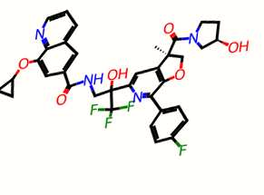 C[C@]1(C(=O)N2CC[C@@H](O)C2)COc2c1cc(C(O)(CNC(=O)c1cc(OC3CC3)c3ncccc3c1)C(F)(F)F)nc2-c1ccc(F)cc1